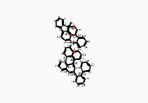 CC1(C)c2ccccc2-c2ccc(N(c3ccc(-c4cccc5cc(-c6ccccc6-c6ccccc6)cc(-c6ccccc6)c45)cc3)c3ccccc3-c3ccccc3)cc21